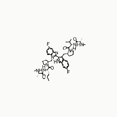 CCC[C@H](NC(=O)[C@H](C)NC)C(=O)N1CCC[C@H]1Cn1c(-c2[nH]c3cc(F)ccc3c2C[C@@H]2CCCN2C(=O)[C@@H](NC(=O)[C@H](C)NC)C(C)C)nc2cc(F)ccc21